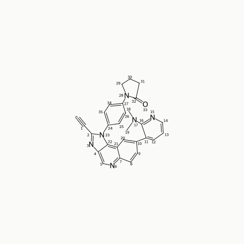 C#Cc1nc2cnc3ccc(-c4cccnc4N(C)C)cc3c2n1-c1ccc(N2CCCC2=O)cc1